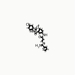 COc1ccc(NC(=O)/C=C/N=C(\N)c2cccs2)cc1S(=O)(=O)Nc1ccc(Cl)cc1